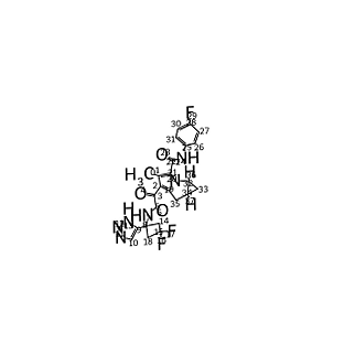 Cc1c(C(=O)C(=O)NC2(c3cnn[nH]3)CC(F)(F)C2)c2n(c1C(=O)Nc1ccc(F)cc1)[C@@H]1C[C@@H]1C2